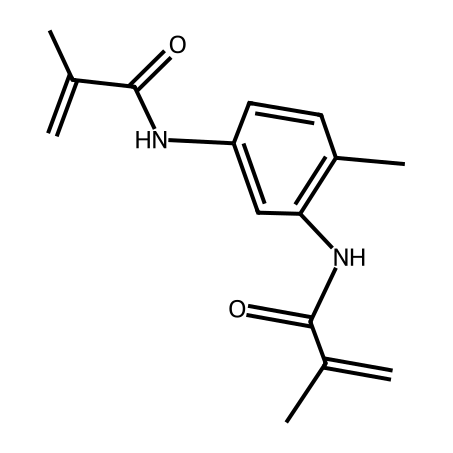 C=C(C)C(=O)Nc1ccc(C)c(NC(=O)C(=C)C)c1